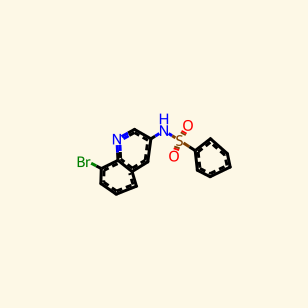 O=S(=O)(Nc1cnc2c(Br)cccc2c1)c1ccccc1